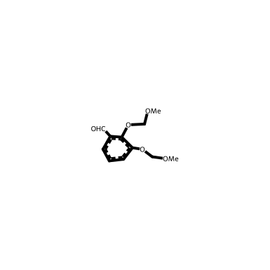 COCOc1cccc(C=O)c1OCOC